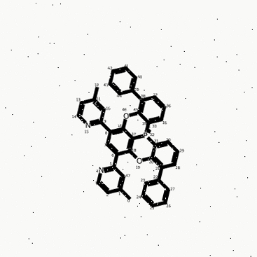 Cc1ccnc(-c2cc(-c3cc(C)ccn3)c3c4c2Oc2c(-c5ccccc5)cccc2P4(=S)c2cccc(-c4ccccc4)c2O3)c1